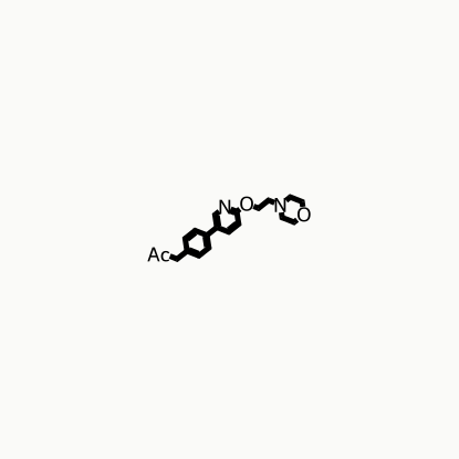 CC(=O)Cc1ccc(-c2ccc(OCCN3CCOCC3)nc2)cc1